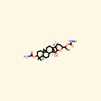 CCNC(=O)OC(C(C)C)C1C[C@@H](C)[C@H]2C(O1)[C@H](O)[C@@]1(C)C3CC[C@H]4C(C)(C)C(OC(N)=O)CCC45CC35CCC21C